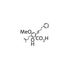 C=C(C)CCc1c(OC)cc(/C=C/CCc2ccccc2)c(C(=O)O)c1O